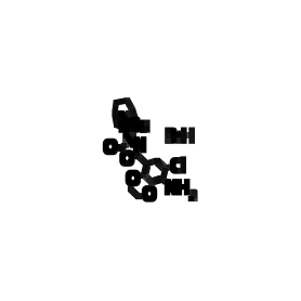 Br.CCCCN1C2CCC1CC(n1nc(-c3cc(Cl)c(N)c4c3OCCO4)oc1=O)C2